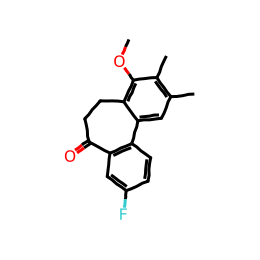 COc1c(C)c(C)cc2c1CCC(=O)c1cc(F)ccc1-2